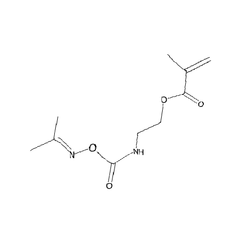 C=C(C)C(=O)OCCNC(=O)ON=C(C)C